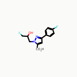 O=C(O)c1cc(-c2ccc(F)cc2)nn1CC(O)CF